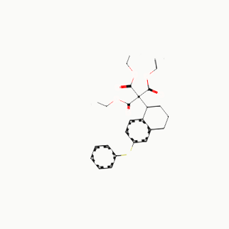 CCOC(=O)C(C(=O)OCC)(C(=O)OCC)C1CCCc2cc(Sc3ccccc3)ccc21